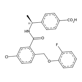 C[C@H](NC(=O)c1cc(Cl)ccc1COc1ccccc1F)c1ccc(C(=O)O)cc1